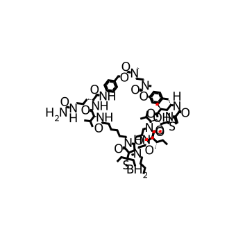 BSC(CC)(CC)C1CC(=O)N(CCCCCC(=O)N[C@@H](C(=O)N[C@H](CCCNC(N)=O)C(=O)Nc2ccc(COC(=O)N(C)CCN(C)C(=O)Oc3ccc(C[C@@H](C[C@H](C)C(=O)O)NC(=O)c4csc([C@@H](C[C@H](C(C)C)N(CCC)C(=O)[C@@H](NC(=O)CN(C)CCCC)[C@@H](C)CC)OCCC)n4)cc3)cc2)C(C)C)C1=O